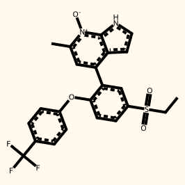 CCS(=O)(=O)c1ccc(Oc2ccc(C(F)(F)F)cc2)c(-c2cc(C)[n+]([O-])c3[nH]ccc23)c1